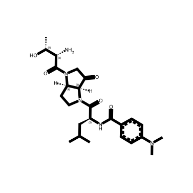 CC(C)C[C@H](NC(=O)c1ccc(N(C)C)cc1)C(=O)N1CC[C@@H]2[C@H]1C(=O)CN2C(=O)[C@@H](N)[C@@H](C)O